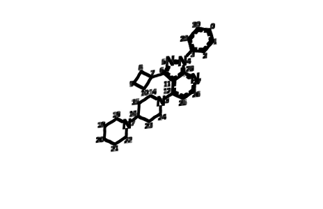 c1ccc(-n2nc(C3CCC3)c3c(N4CCC(N5CCCCC5)CC4)ccnc32)cc1